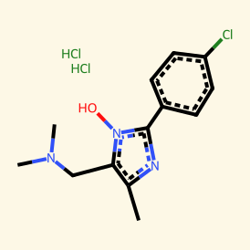 Cc1nc(-c2ccc(Cl)cc2)n(O)c1CN(C)C.Cl.Cl